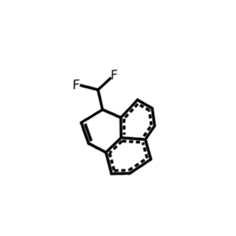 FC(F)C1C=Cc2cccc3cccc1c23